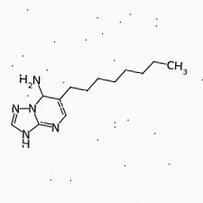 CCCCCCCCC1=CN=C2NC=NN2C1N